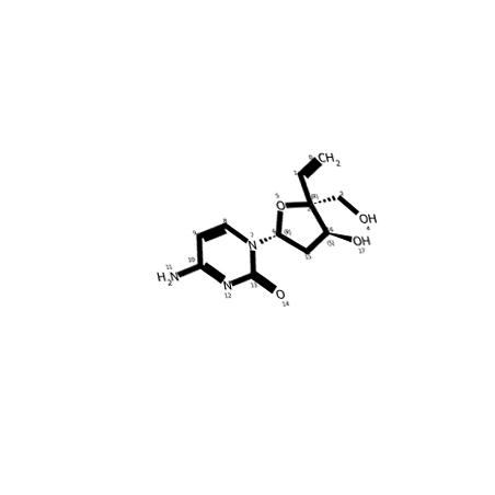 C=C[C@]1(CO)O[C@@H](n2ccc(N)nc2=O)C[C@@H]1O